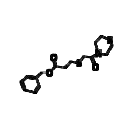 O=C(CCSCC(=O)N1CCSCC1)OCc1ccccc1